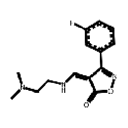 CN(C)CCNC=C1C(=O)ON=C1c1cccc(F)c1